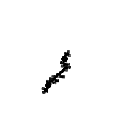 Cl.Cl.N=C(NCCCCCCNC(=N)NC(=N)Nc1ccc(C2CC2(Cl)Cl)cc1)NC(=N)Nc1ccc(C2CC2(Cl)Cl)cc1